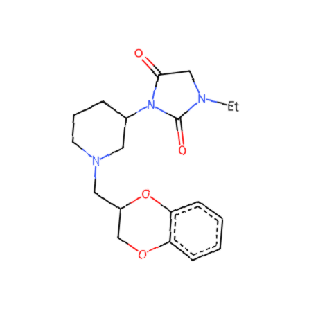 CCN1CC(=O)N(C2CCCN(CC3COc4ccccc4O3)C2)C1=O